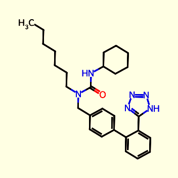 CCCCCCCN(Cc1ccc(-c2ccccc2-c2nnn[nH]2)cc1)C(=O)NC1CCCCC1